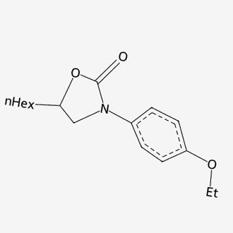 CCCCCCC1CN(c2ccc(OCC)cc2)C(=O)O1